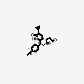 CC(F)(F)c1ccc([C@H](C[C@H]2CCC(=O)N2)c2ccc(C3CC3)c(=O)[nH]2)cc1